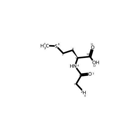 [2H]CC(=O)N[C@@H](CCSC)C(=O)O